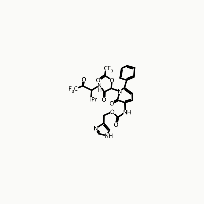 CC(C)C(NC(=O)C(OC(=O)C(F)(F)F)n1c(-c2ccccc2)ccc(NC(=O)OCc2c[nH]cn2)c1=O)C(=O)C(F)(F)F